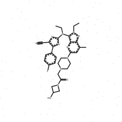 CCN(c1nc(-c2ccc(F)cc2)c(C#N)s1)c1c2nc(N3CCN(CC(=O)N4CC(O)C4)CC3)cc(C)c2nn1CC